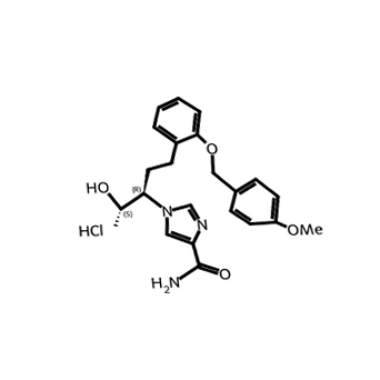 COc1ccc(COc2ccccc2CC[C@H]([C@H](C)O)n2cnc(C(N)=O)c2)cc1.Cl